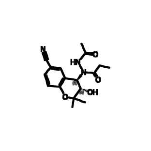 CCC(=O)N(NC(C)=O)[C@@H]1c2cc(C#N)ccc2OC(C)(C)[C@H]1O